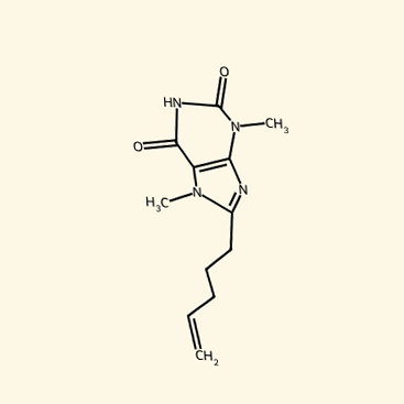 C=CCCCc1nc2c(c(=O)[nH]c(=O)n2C)n1C